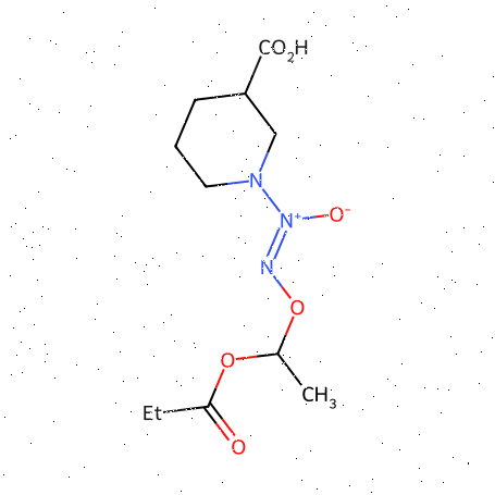 CCC(=O)OC(C)ON=[N+]([O-])N1CCCC(C(=O)O)C1